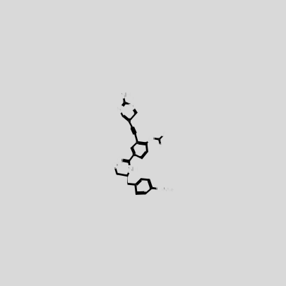 COc1ccc(C[C@@H](CO)NC(=O)c2ccc(OC(F)F)c(C#Cc3cnc(N)nc3)c2)cc1